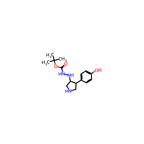 CC(C)(C)OC(=O)NNC1CNCC1c1ccc(O)cc1